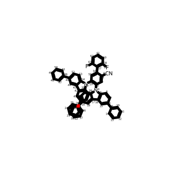 N#Cc1cc(-n2c3ccc(-c4ccccc4)cc3c3cc(-c4ccccc4)ccc32)c(-n2c3ccc(-c4ccccc4)cc3c3cc(-c4ccccc4)ccc32)cc1-c1c(F)cccc1F